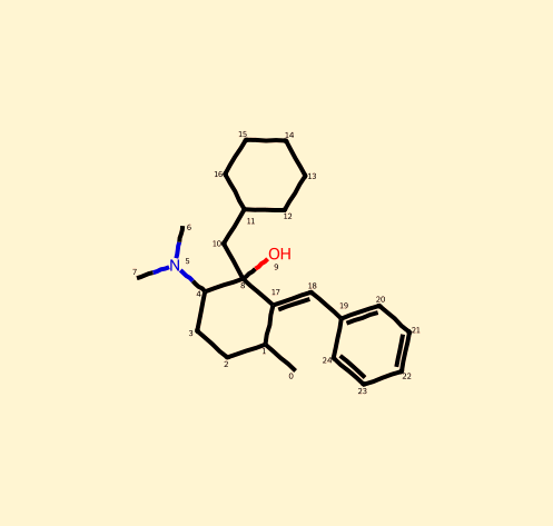 CC1CCC(N(C)C)C(O)(CC2CCCCC2)C1=Cc1ccccc1